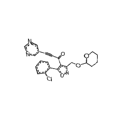 O=C(C#Cc1cncnc1)c1c(COC2CCCCO2)noc1-c1ccccc1Cl